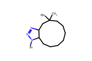 CC(C)N1N=NC2CC(C)(C(C)(C)C)CCCCCCCC21